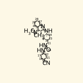 CN(C)c1cc(NC2CCC(CNC(=O)Nc3ccc(C#N)cc3)CC2)nc2ccccc12